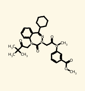 COC(=O)c1cccc(N(C)C(=O)CN2N=C(C3CCCCC3)c3ccccc3N(CC(=O)C(C)(C)C)C2=O)c1